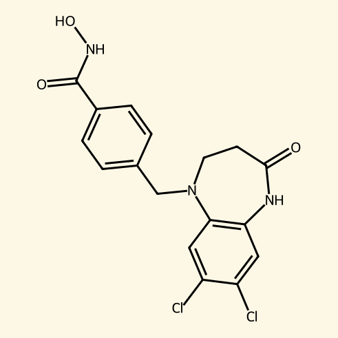 O=C1CCN(Cc2ccc(C(=O)NO)cc2)c2cc(Cl)c(Cl)cc2N1